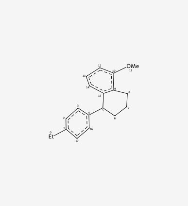 [CH2]Cc1ccc(C2CCCc3c(OC)cccc32)cc1